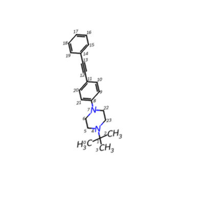 CC(C)(C)N1CCN(c2ccc(C#Cc3ccccc3)cc2)CC1